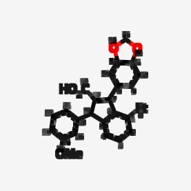 CCc1cccc2c1C(c1ccc3c(c1)OCO3)=C(C(=O)O)C2c1cccc(OC)c1